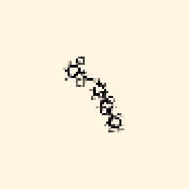 Clc1cccc(Cl)c1SCCN1CCN(C2=COC(C3=CC=CCC3)=CO2)CC1